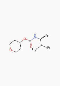 CC(C)C(C)[C@@H](NC(=O)OC1CCOCC1)C(C)C